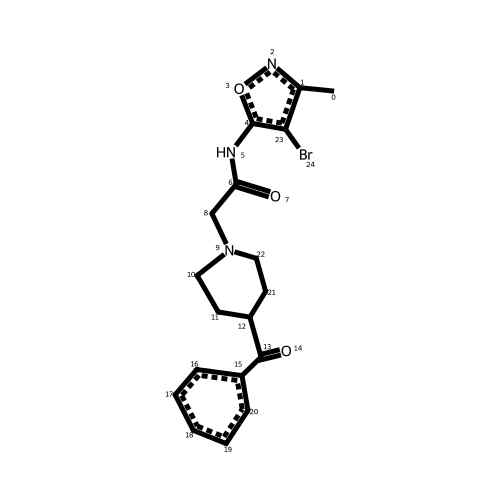 Cc1noc(NC(=O)CN2CCC(C(=O)c3ccccc3)CC2)c1Br